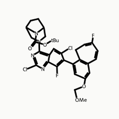 COCOc1cc2c(c(-c3c(Cl)cc4c(N5CC6CCC(C5)N6C(=O)OC(C)(C)C)nc(Cl)nc4c3F)c1)CC=C(F)C=C2